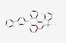 CC(C)(C)c1cc(C(C)(C)C)c2c(c1)C(C)(C)c1cccc(-c3ccccc3N(c3ccccc3)c3ccc4c(c3)oc3ccccc34)c1-2